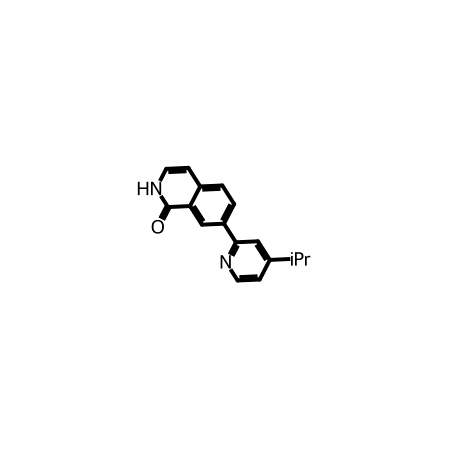 CC(C)c1ccnc(-c2ccc3cc[nH]c(=O)c3c2)c1